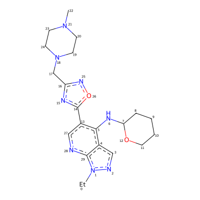 CCn1ncc2c(NC3CCCCO3)c(-c3nc(CN4CCN(C)CC4)no3)cnc21